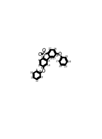 O=S1(=O)c2ccc(Oc3ccccc3)cc2-c2cc(Oc3ccccc3)ccc21